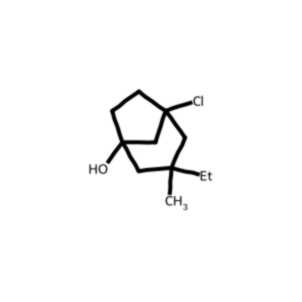 CCC1(C)CC2(O)CCC(Cl)(C1)C2